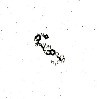 Cc1ncoc1COc1ccc2c(c1)CCN(CC(O)CNC(=O)c1cc(NC3CCC3)ccn1)C2